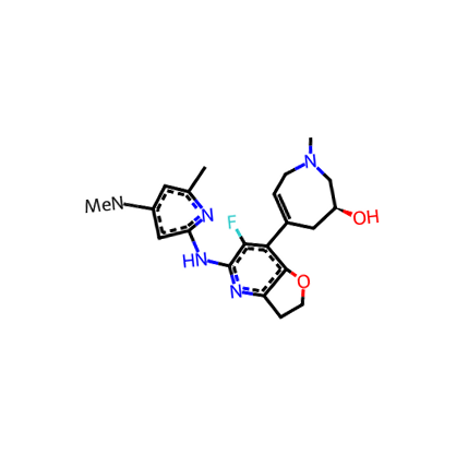 CNc1cc(C)nc(Nc2nc3c(c(C4=CCN(C)C[C@@H](O)C4)c2F)OCC3)c1